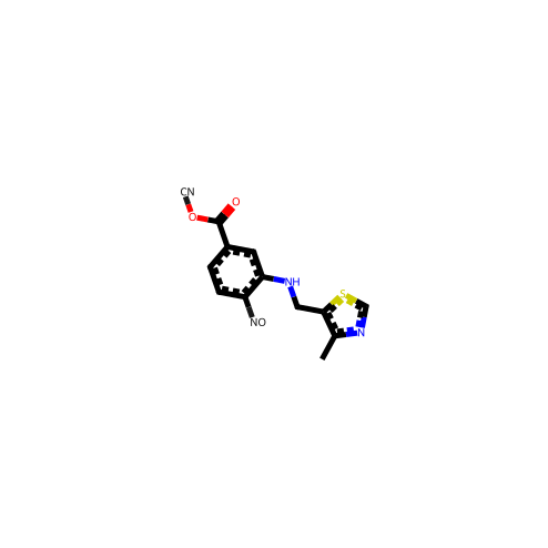 Cc1ncsc1CNc1cc(C(=O)OC#N)ccc1N=O